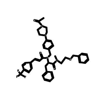 CC(=O)N1CCN(c2ccc(CN(C(=O)C=Cc3ccc(C(F)(F)F)cc3)C(Cc3ccccc3)C(=O)N(C)CCOCc3ccccc3)cc2)CC1